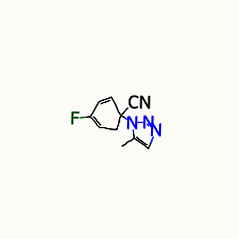 Cc1cnnn1C1(C#N)C=CC(F)=CC1